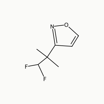 CC(C)(c1ccon1)C(F)F